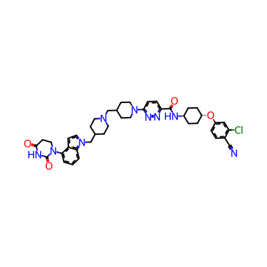 N#Cc1ccc(O[C@H]2CC[C@H](NC(=O)c3ccc(N4CCC(CN5CCC(Cn6ccc7c(N8CCC(=O)NC8=O)cccc76)CC5)CC4)nn3)CC2)cc1Cl